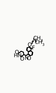 CN(C)CCOc1ccc2c(ccc3onc(C4CCC(=O)NC4=O)c32)c1F